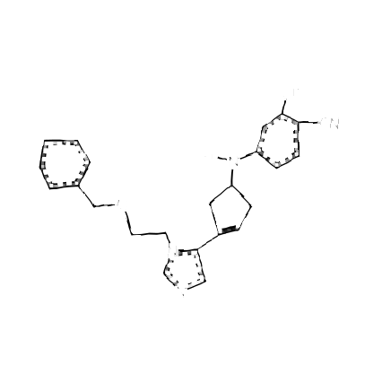 CCN(c1ccc(C#N)c(C(F)(F)F)c1)C1CC=C(c2cncn2CCOCc2ccccc2)C1